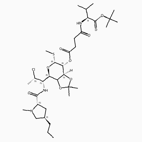 CCC[C@@H]1C[C@@H](C(=O)N[C@H]([C@H](C)Cl)[C@H]2O[C@H](SC)[C@H](OC(=O)CCC(=O)N[C@H](C(=O)OC(C)(C)C)C(C)C)[C@H]3OC(C)(C)OC23)N(C)C1